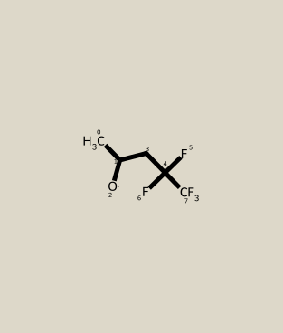 CC([O])CC(F)(F)C(F)(F)F